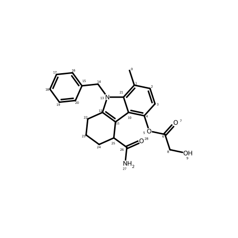 Cc1ccc(OC(=O)CO)c2c3c(n(Cc4ccccc4)c12)CCCC3C(N)=O